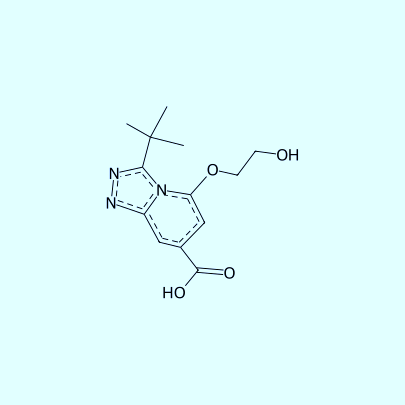 CC(C)(C)c1nnc2cc(C(=O)O)cc(OCCO)n12